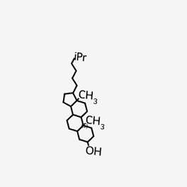 CC(C)CCCCC1CCC2C3CCC4CC(O)CC[C@]4(C)C3CCC12C